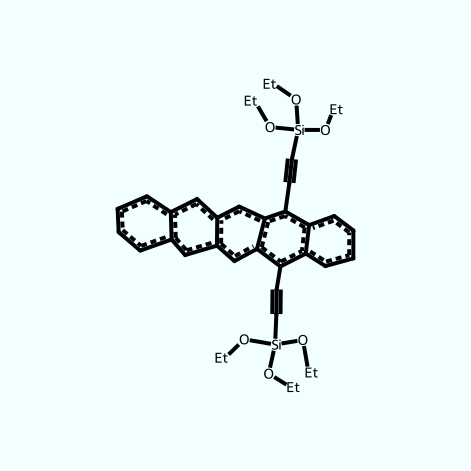 CCO[Si](C#Cc1c2ccccc2c(C#C[Si](OCC)(OCC)OCC)c2cc3cc4ccccc4cc3cc12)(OCC)OCC